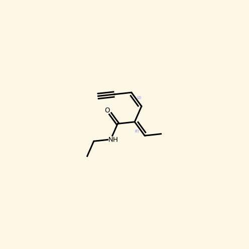 C#C/C=C\C(=C/C)C(=O)NCC